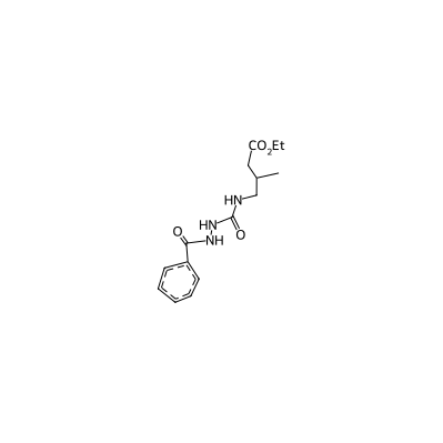 CCOC(=O)CC(C)CNC(=O)NNC(=O)c1ccccc1